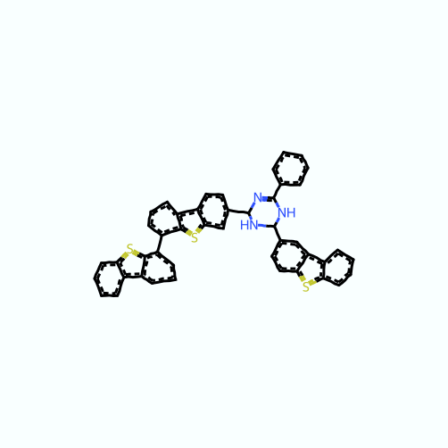 c1ccc(C2=NC(c3ccc4c(c3)sc3c(-c5cccc6c5sc5ccccc56)cccc34)NC(c3ccc4sc5ccccc5c4c3)N2)cc1